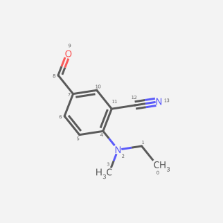 CCN(C)c1ccc(C=O)cc1C#N